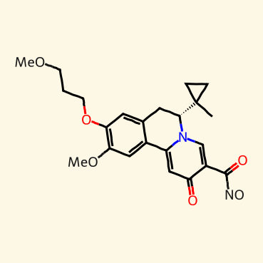 COCCCOc1cc2c(cc1OC)-c1cc(=O)c(C(=O)N=O)cn1[C@@H](C1(C)CC1)C2